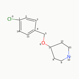 Clc1ccc(COC2CC[N]CC2)cc1